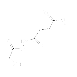 CCC(=O)ONC(=O)CCC(C)=O